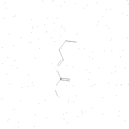 C[C@H](CC=NC(=O)OC(C)(C)C)C(=O)O